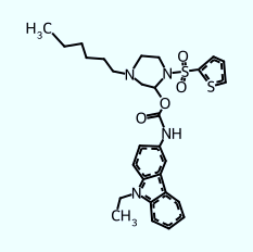 CCCCCCN1CCN(S(=O)(=O)c2cccs2)C(OC(=O)Nc2ccc3c(c2)c2ccccc2n3CC)C1